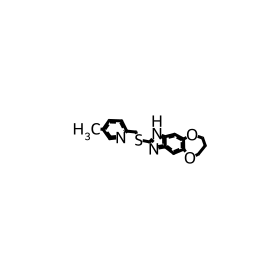 Cc1ccc(CSc2nc3cc4c(cc3[nH]2)OCCCO4)nc1